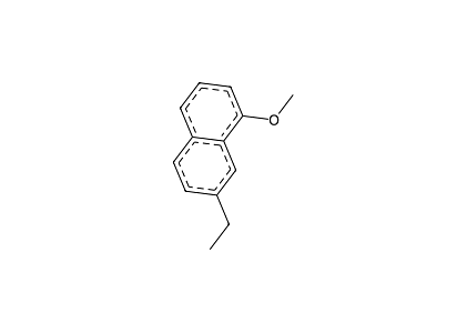 CCc1ccc2cccc(OC)c2c1